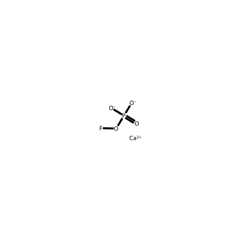 O=P([O-])([O-])OF.[Ca+2]